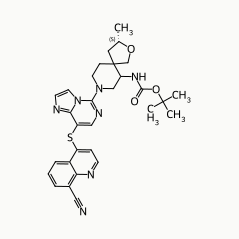 C[C@H]1CC2(CCN(c3ncc(Sc4ccnc5c(C#N)cccc45)c4nccn34)CC2NC(=O)OC(C)(C)C)CO1